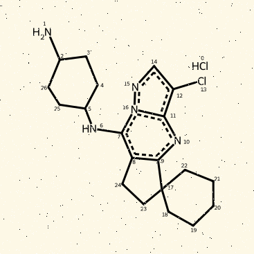 Cl.NC1CCC(Nc2c3c(nc4c(Cl)cnn24)C2(CCCCC2)CC3)CC1